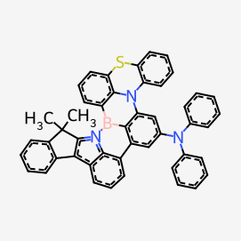 CC1(C)c2ccccc2-c2c1n1c3c(cccc23)-c2cc(N(c3ccccc3)c3ccccc3)cc3c2B1c1cccc2c1N3c1ccccc1S2